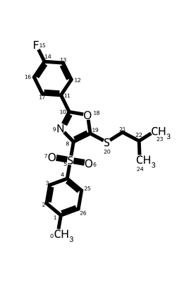 Cc1ccc(S(=O)(=O)c2nc(-c3ccc(F)cc3)oc2SCC(C)C)cc1